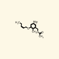 CC/C=C\COc1cccc(COC(C)=O)c1C.[Mg]